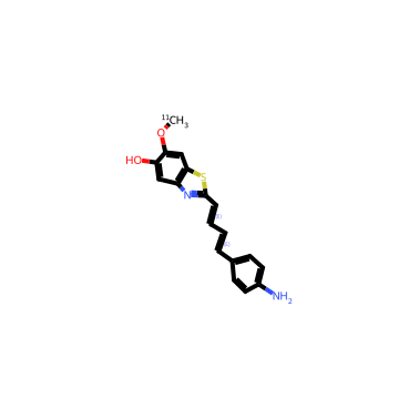 [11CH3]Oc1cc2sc(/C=C/C=C/c3ccc(N)cc3)nc2cc1O